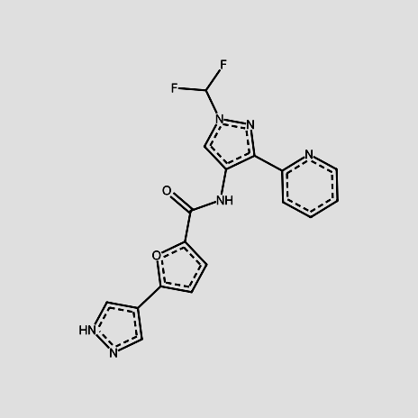 O=C(Nc1cn(C(F)F)nc1-c1ccccn1)c1ccc(-c2cn[nH]c2)o1